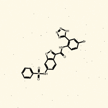 O=C(Nc1ccc(Br)cc1-c1nnn[nH]1)c1noc2cc(NS(=O)(=O)c3ccccc3)ccc12